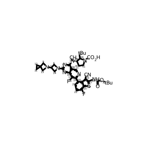 CN(c1nc(N2CC(N3CC4(CC4)C3)C2)nc2c(F)c(-c3ccc(F)c4sc(NC(=O)OC(C)(C)C)c(C#N)c34)ncc12)[C@@H]1CCN(C(=O)O)C1C(C)(C)C